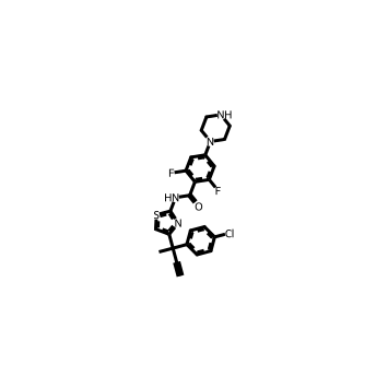 C#CC(C)(c1ccc(Cl)cc1)c1csc(NC(=O)c2c(F)cc(N3CCNCC3)cc2F)n1